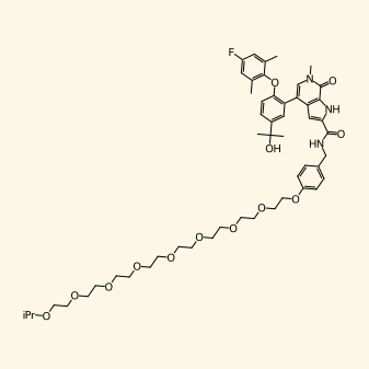 Cc1cc(F)cc(C)c1Oc1ccc(C(C)(C)O)cc1-c1cn(C)c(=O)c2[nH]c(C(=O)NCc3ccc(OCCOCCOCCOCCOCCOCCOCCOCCOC(C)C)cc3)cc12